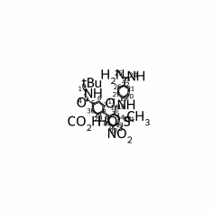 CC(C)(C)CNC(=O)c1ccc(-c2cc([N+](=O)[O-])ccc2C(=O)Nc2ccc(C(=N)N)cc2)c(C(=O)O)c1.CS(=O)(=O)O